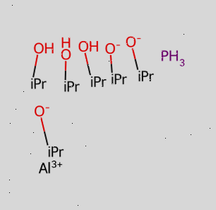 CC(C)O.CC(C)O.CC(C)O.CC(C)[O-].CC(C)[O-].CC(C)[O-].P.[Al+3]